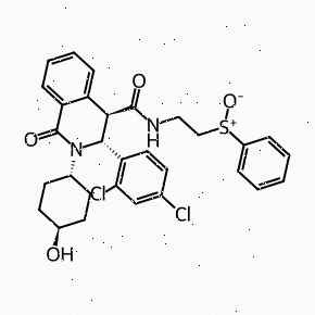 O=C(NCC[S+]([O-])c1ccccc1)[C@@H]1c2ccccc2C(=O)N([C@H]2CC[C@H](O)CC2)[C@H]1c1ccc(Cl)cc1Cl